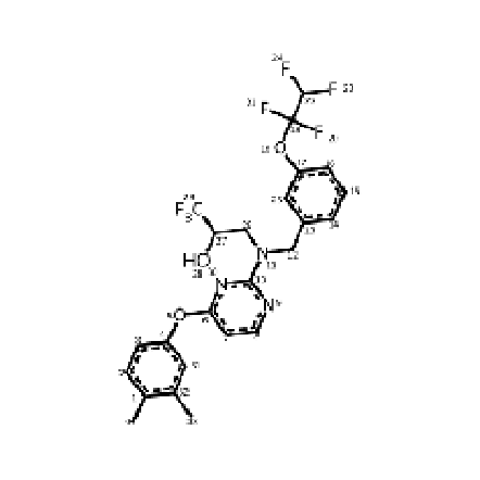 Cc1ccc(Oc2ccnc(N(Cc3cccc(OC(F)(F)C(F)F)c3)CC(O)C(F)(F)F)n2)cc1C